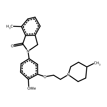 COc1ccc(N2Cc3cccc(C)c3C2=O)cc1OCCN1CCC(C)CC1